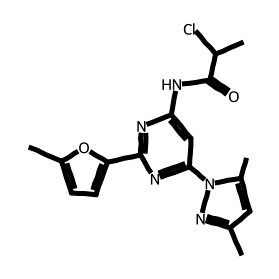 Cc1cc(C)n(-c2cc(NC(=O)C(C)Cl)nc(-c3ccc(C)o3)n2)n1